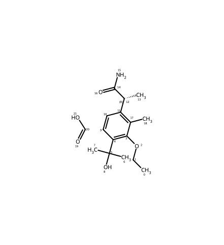 CCOc1c(C(C)(C)O)ccc([C@@H](C)C(N)=O)c1C.O=CO